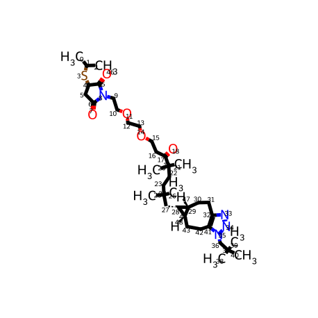 CC(C)SC1CC(=O)N(CCOCCOCCC(=O)C(C)(C)CCC(C)(C)C[C@@H]2[C@@H]3CCc4nnn(CC(C)(C)C)c4CC[C@@H]32)C1=O